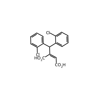 O=C(O)/C=C(\C(=O)O)C(c1ccccc1Cl)c1ccccc1Cl